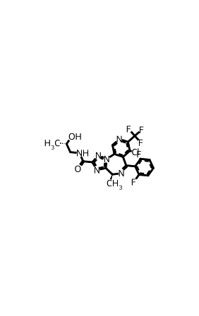 C[C@H](O)CNC(=O)c1nc2n(n1)-c1cnc(C(F)(F)F)c(Cl)c1C(c1c(F)cccc1F)=N[C@H]2C